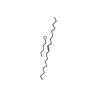 CCCCCCCCC=CCCCCCCCC.CCCCCCl